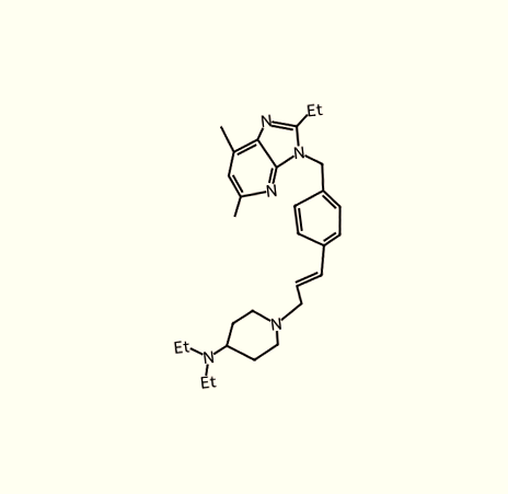 CCc1nc2c(C)cc(C)nc2n1Cc1ccc(C=CCN2CCC(N(CC)CC)CC2)cc1